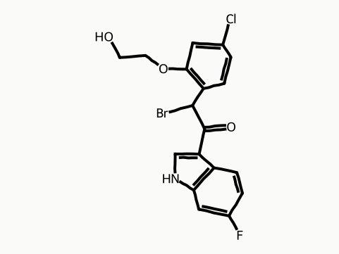 O=C(c1c[nH]c2cc(F)ccc12)C(Br)c1ccc(Cl)cc1OCCO